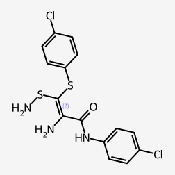 NS/C(Sc1ccc(Cl)cc1)=C(\N)C(=O)Nc1ccc(Cl)cc1